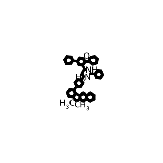 CC1(C)c2cc3ccccc3cc2-c2c(-c3ccc(/C=C/C(NC(N)c4ccccc4)c4cc(-c5ccccc5)cc5oc6ccccc6c45)cc3)cccc21